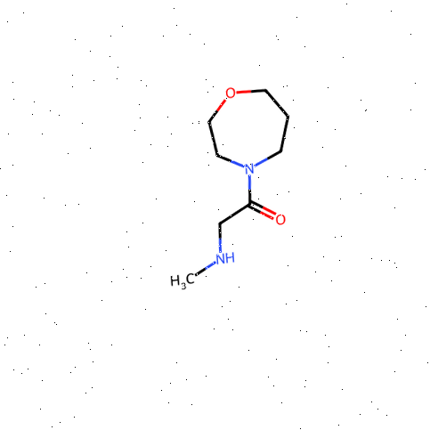 CNCC(=O)N1CCCOCC1